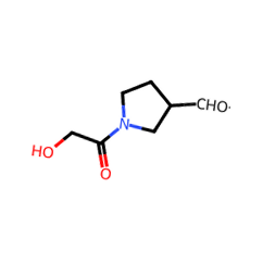 O=[C]C1CCN(C(=O)CO)C1